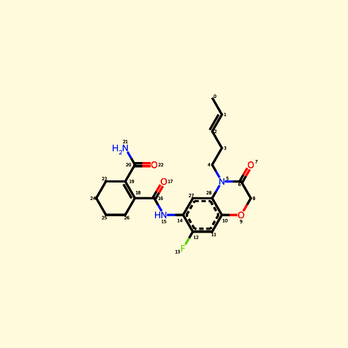 CC=CCCN1C(=O)COc2cc(F)c(NC(=O)C3=C(C(N)=O)CCCC3)cc21